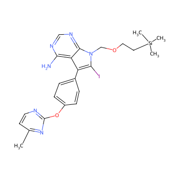 Cc1ccnc(Oc2ccc(-c3c(I)n(COCC[Si](C)(C)C)c4ncnc(N)c34)cc2)n1